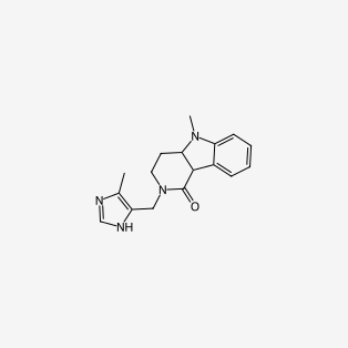 Cc1nc[nH]c1CN1CCC2C(C1=O)c1ccccc1N2C